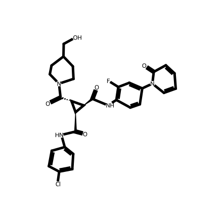 O=C(Nc1ccc(Cl)cc1)[C@@H]1[C@H](C(=O)Nc2ccc(-n3ccccc3=O)cc2F)[C@H]1C(=O)N1CCC(CO)CC1